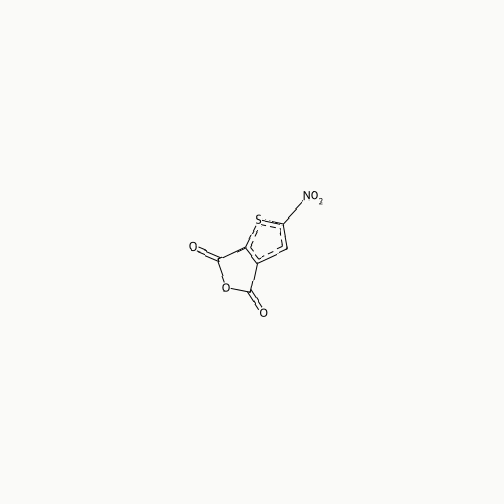 O=C1OC(=O)c2sc([N+](=O)[O-])cc21